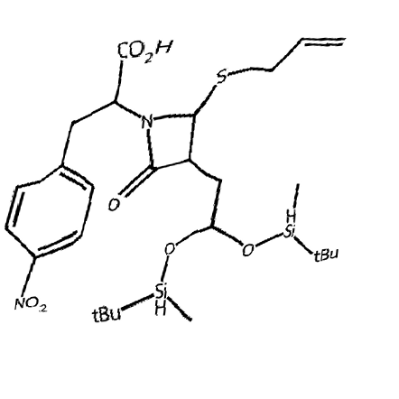 C=CCSC1C(CC(O[SiH](C)C(C)(C)C)O[SiH](C)C(C)(C)C)C(=O)N1C(Cc1ccc([N+](=O)[O-])cc1)C(=O)O